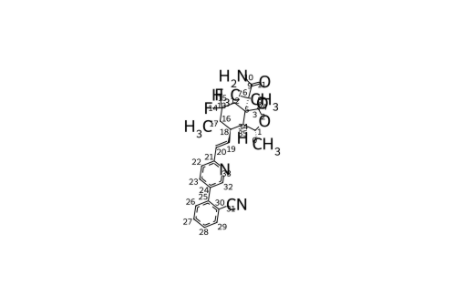 C[C@H]1OC(=O)[C@]2(C(C)(C)C(N)=O)CC(F)(F)[C@@H](C)[C@H](C=Cc3ccc(-c4ccccc4C#N)cn3)[C@H]12